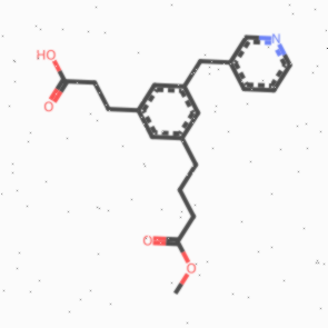 COC(=O)CCCc1cc(CCC(=O)O)cc(Cc2cccnc2)c1